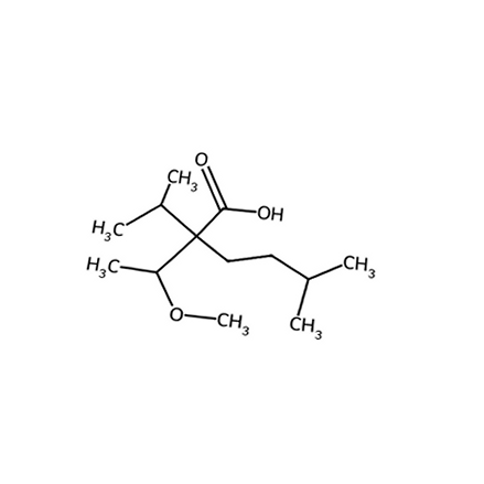 COC(C)C(CCC(C)C)(C(=O)O)C(C)C